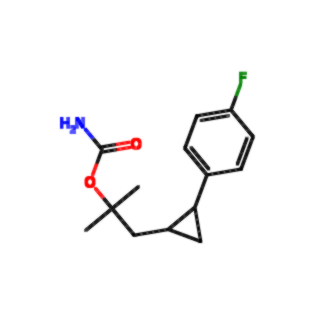 CC(C)(CC1CC1c1ccc(F)cc1)OC(N)=O